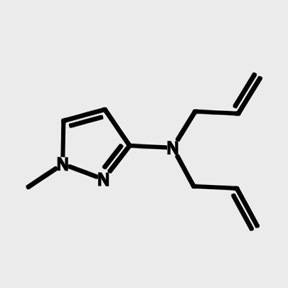 C=CCN(CC=C)c1ccn(C)n1